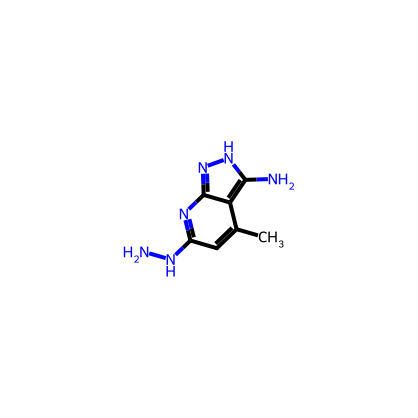 Cc1cc(NN)nc2n[nH]c(N)c12